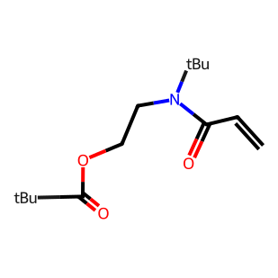 C=CC(=O)N(CCOC(=O)C(C)(C)C)C(C)(C)C